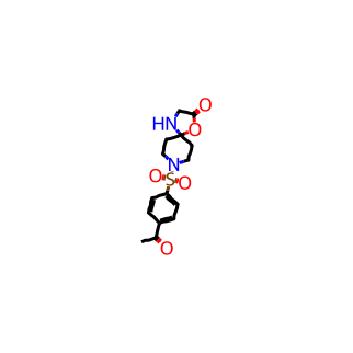 CC(=O)c1ccc(S(=O)(=O)N2CCC3(CC2)NCC(=O)O3)cc1